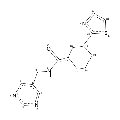 O=C(NCc1cncnc1)C1CCCC(c2nccs2)C1